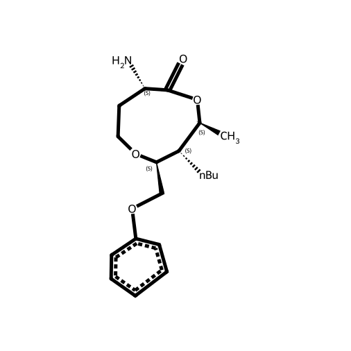 CCCC[C@H]1[C@H](C)OC(=O)[C@@H](N)CCO[C@@H]1COc1ccccc1